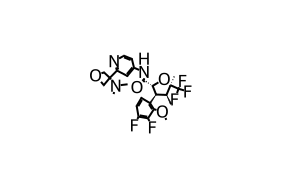 COc1c([C@H]2[C@H](C(=O)Nc3ccnc(C4(N(C)C)COC4)c3)O[C@@](C)(C(F)(F)F)[C@H]2C)ccc(F)c1F